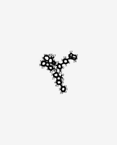 Cc1cc(-c2ccc(C3C4CC5CC(C4)CC3C5)cc2)cc(C)c1N(c1ccc2c(c1)C(C)(C)c1cc(-c3ccccc3)ccc1-2)c1ccc2c(c1)C1(c3ccccc3-2)c2ccccc2C(C)(C)C2C=CC=CC21